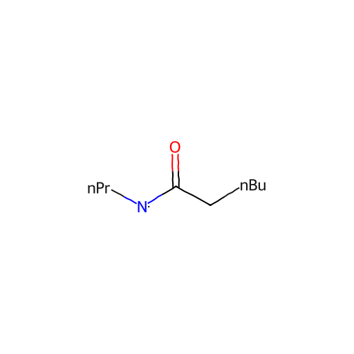 CCCCCC(=O)[N]CCC